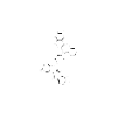 C1=C(N(c2ccccc2)c2ccc3ccccc3c2)CCC(n2c3ccccc3c3cc4ccccc4cc32)=C1